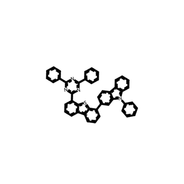 c1ccc(-c2nc(-c3ccccc3)nc(-c3cccc4c3sc3c(-c5ccc6c7ccccc7n(-c7ccccc7)c6c5)cccc34)n2)cc1